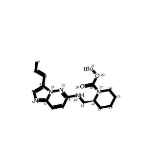 CC=Cc1cnc2ccc(NC[C@@H]3CCCCN3C(=O)OC(C)(C)C)nn12